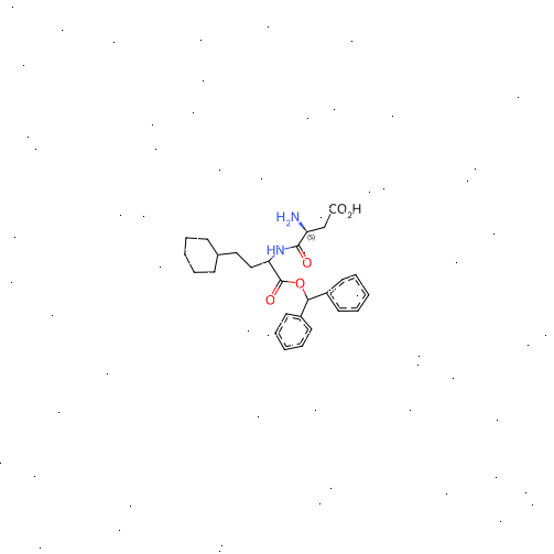 N[C@@H](CC(=O)O)C(=O)NC(CCC1CCCCC1)C(=O)OC(c1ccccc1)c1ccccc1